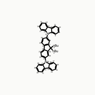 CCCCC1(CCCC)c2cc(-n3c4ccccc4c4ccccc43)ccc2-c2ccc(-n3c4ccccc4c4ccccc43)cc21